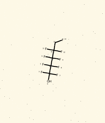 OC(F)(F)C(F)(F)C(F)(F)C(F)(F)CF